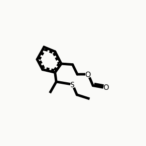 CCSC(C)c1ccccc1CCOC=O